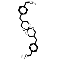 C=Cc1ccc(CC2COC3(OC2)OCC(Cc2ccc(C=C)cc2)CO3)cc1